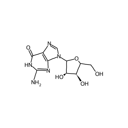 Nc1nc2c(ncn2C2OC(CO)[C@@H](O)[C@H]2O)c(=O)[nH]1